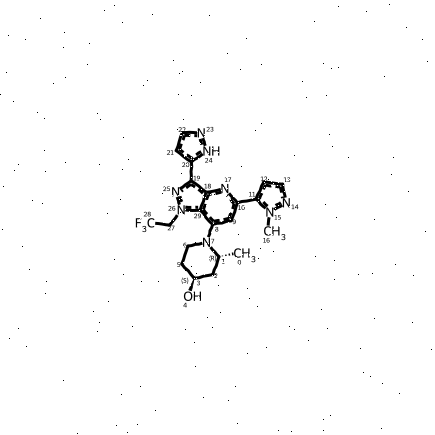 C[C@@H]1C[C@@H](O)CCN1c1cc(-c2ccnn2C)nc2c(-c3ccn[nH]3)nn(CC(F)(F)F)c12